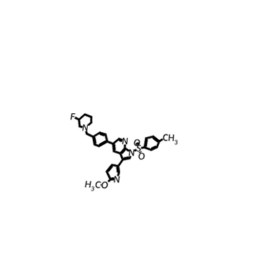 COc1ccc(-c2cn(S(=O)(=O)c3ccc(C)cc3)c3ncc(-c4ccc(CN5CCCC(F)C5)cc4)cc23)cn1